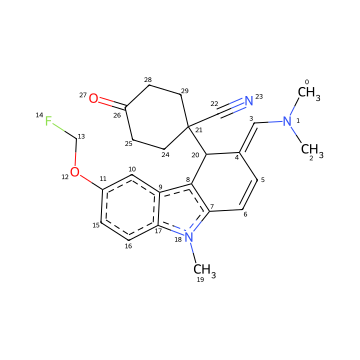 CN(C)C=C1C=Cc2c(c3cc(OCF)ccc3n2C)C1C1(C#N)CCC(=O)CC1